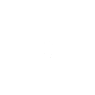 CCCc1nc(-c2ccc(C)cc2)no1